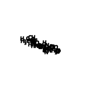 CC(C)(C)c1cc(NC(=O)Nc2ccc(Nc3ncnc(N)c3C(=N)c3ccc(Oc4ccccc4)cc3)cc2)no1